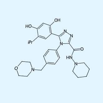 CC(C)c1cc(-c2nnc(C(=O)NN3CCCCC3)n2-c2ccc(CN3CCOCC3)cc2)c(O)cc1O